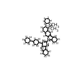 CC1(C)c2ccccc2-c2ccc3cc4c(cc3c21)c1ccccc1n4-c1nc(-c2ccc(-c3ccccc3)cc2)c2sc3ccccc3c2n1